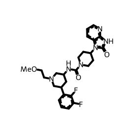 COCCN1CC(NC(=O)N2CCC(n3c(=O)[nH]c4ncccc43)CC2)CC(c2cccc(F)c2F)C1